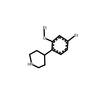 CCOc1cc(CC)ccc1C1CCNCC1